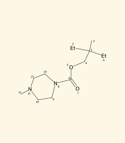 CCC(C)(CC)COC(=O)N1CCN(C)CC1